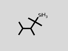 CC(C)C(C)C(C)(C)[SiH3]